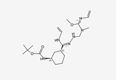 C=C/N=C(/OC)N(C)CN/N=C(\NC=C)[C@H]1CCC[C@@H](NC(=O)OC(C)(C)C)C1